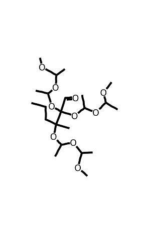 CCCC(C)(OC(C)OC(C)OC)C(C=O)(OC(C)OC(C)OC)OC(C)OC(C)OC